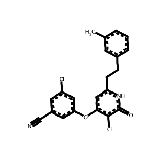 Cc1cccc(CCc2cc(Oc3cc(Cl)cc(C#N)c3)c(Cl)c(=O)[nH]2)c1